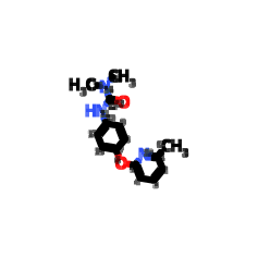 Cc1cccc(Oc2ccc(NC(=O)N(C)C)cc2)n1